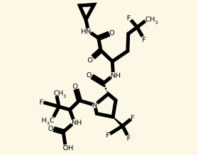 CC(F)(F)CCC(NC(=O)[C@@H]1C[C@@H](C(F)(F)F)CN1C(=O)C(NC(=O)O)C(C)(C)F)C(=O)C(=O)NC1CC1